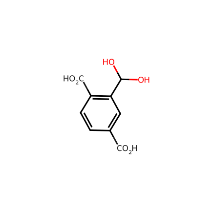 O=C(O)c1ccc(C(=O)O)c(C(O)O)c1